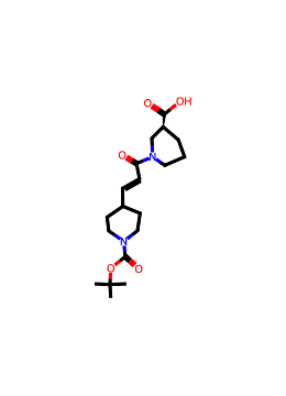 CC(C)(C)OC(=O)N1CCC(/C=C/C(=O)N2CCC[C@H](C(=O)O)C2)CC1